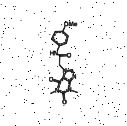 COc1ccc(NC(=O)Cn2cnc3c2c(=O)n(C)c(=O)n3C)cc1